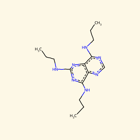 CCCNc1nc(NCCC)c2ncnc(NCCC)c2n1